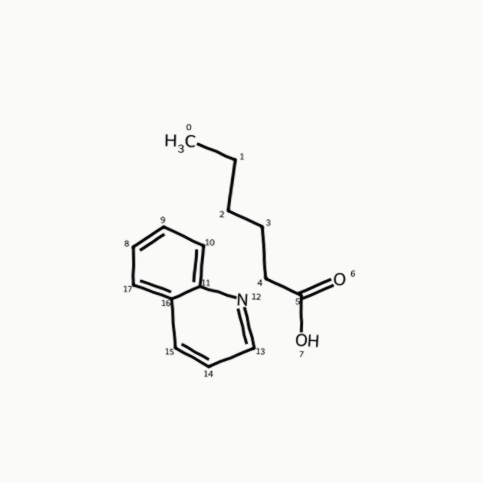 CCCCCC(=O)O.c1ccc2ncccc2c1